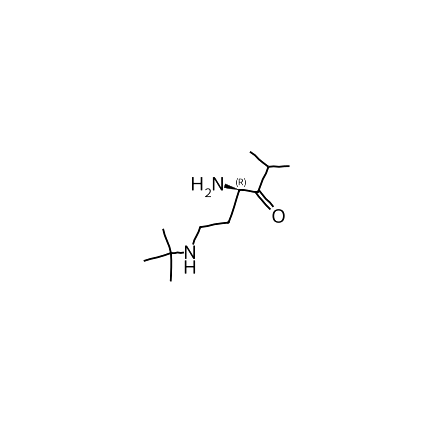 CC(C)C(=O)[C@H](N)CCNC(C)(C)C